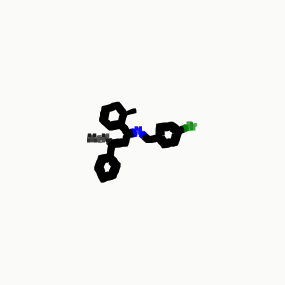 CN/C(=C\C(=N/Cc1ccc(Br)cc1)C1=CC=CC[C@H]1C)c1ccccc1